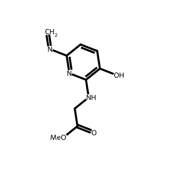 C=Nc1ccc(O)c(NCC(=O)OC)n1